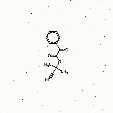 C#CC(C)(C)OC(=O)C(=O)c1ccccc1